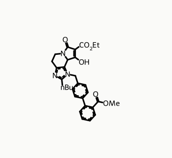 CCCCc1nc2c(n1Cc1ccc(-c3ccccc3C(=O)OC)cc1)C1C(O)=C(C(=O)OCC)C(=O)N1CC2